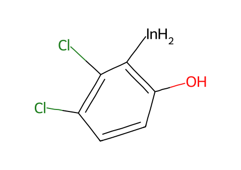 Oc1ccc(Cl)c(Cl)[c]1[InH2]